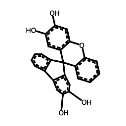 Oc1cc2c(cc1O)C1(c3ccccc3O2)c2ccccc2-c2cc(O)c(O)cc21